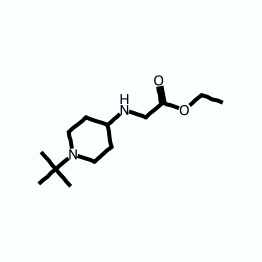 CCOC(=O)CNC1CCN(C(C)(C)C)CC1